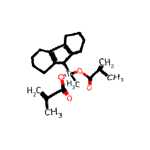 C=C(C)C(=O)[O][Ti]([CH3])([O]C(=O)C(=C)C)[CH]1C2=C(CCCC2)C2=C1CCCC2